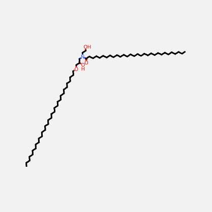 CCCCCCCCCCCCCCCCCCCCCCCCCCCCCCCCOCC(O)CN(CCO)C(=O)CCCCCCCCCCCCCCCCCCCCCCCCCCCCC